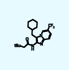 CC(C)(C)CC(=O)Nc1nc2ccc(C(F)(F)F)cn2c1CC1CCCCC1